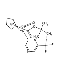 CC(C)(C)OC(=O)N1CC2CCC(C1)C21CC(=O)N(c2cncc(C(F)(F)F)n2)C1